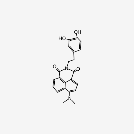 CN(C)c1ccc2c3c(cccc13)C(=O)N(CCc1ccc(O)c(O)c1)C2=O